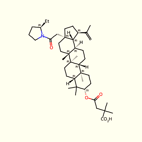 C=C(C)[C@@H]1CC[C@]2(CC(=O)N3CCC[C@H]3CC)CC[C@]3(C)[C@H](CC[C@@H]4[C@@]5(C)CC[C@H](OC(=O)CC(C)(C)C(=O)O)C(C)(C)[C@@H]5CC[C@]43C)[C@@H]12